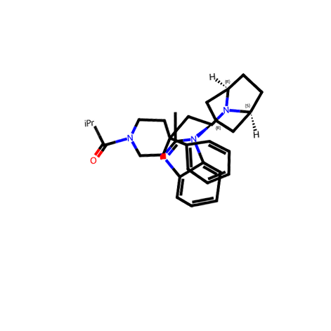 Cc1nc2ccccc2n1[C@H]1C[C@H]2CC[C@@H](C1)N2CCC1(c2ccccc2)CCN(C(=O)C(C)C)CC1